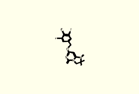 C=C1N=C(OCc2cc(F)c(F)c(F)c2)C=C2N1CC(C)(C)N2C